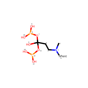 CCCCCN(C)CCC(O)(OP(O)O)OP(O)O